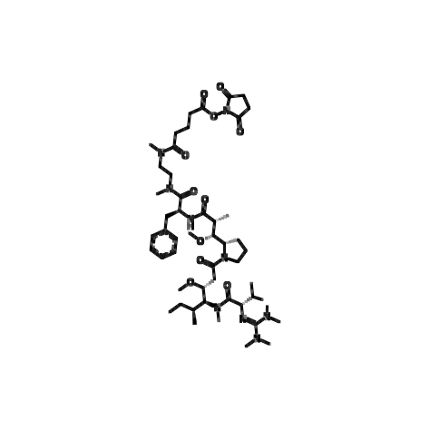 CC[C@H](C)[C@@H]([C@@H](CC(=O)N1CCC[C@H]1[C@H](OC)[C@@H](C)C(=O)N[C@@H](Cc1ccccc1)C(=O)N(C)CCN(C)C(=O)CCCC(=O)ON1C(=O)CCC1=O)OC)N(C)C(=O)[C@@H](N=C(N(C)C)N(C)C)C(C)C